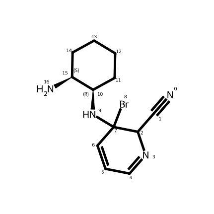 N#CC1N=CC=CC1(Br)N[C@@H]1CCCC[C@@H]1N